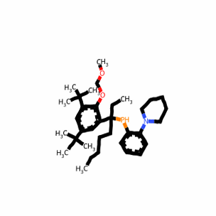 CCCCCC(CC)(Pc1ccccc1N1CCCCC1)c1cc(C(C)(C)C)cc(C(C)(C)C)c1OCOC